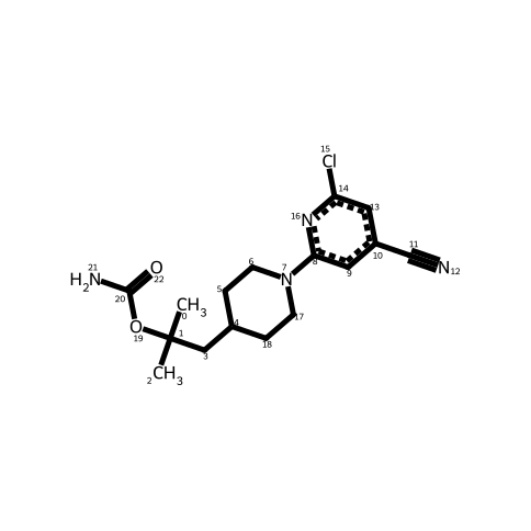 CC(C)(CC1CCN(c2cc(C#N)cc(Cl)n2)CC1)OC(N)=O